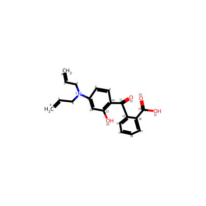 C=CCN(CC=C)c1ccc(C(=O)c2ccccc2C(=O)O)c(O)c1